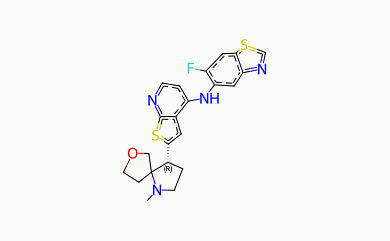 CN1CC[C@@H](c2cc3c(Nc4cc5ncsc5cc4F)ccnc3s2)C12CCOC2